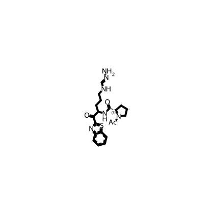 CC(=O)N1C[CH][CH][C@H]1C(=O)NC(CCCNC=NN)C(=O)c1nc2ccccc2s1